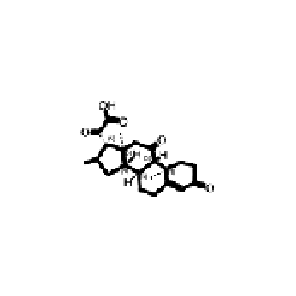 CC1C[C@H]2[C@@H]3CCC4=CC(=O)CC[C@]4(C)[C@H]3C(=O)C[C@]2(C)[C@H]1C(=O)C(=O)O